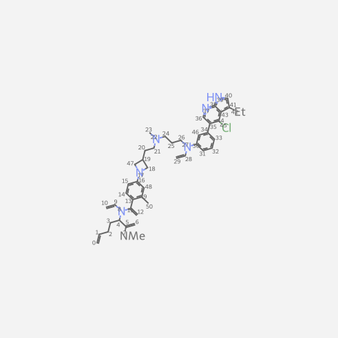 C=CCCC(C(=C)NC)N(C=C)C(=C)c1ccc(N2CC(CCN(C)CCCN(C=C)c3cccc(-c4cnc5[nH]cc(CC)c5c4Cl)c3)C2)cc1C